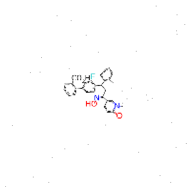 Cc1ccccc1C(CC(=NO)c1ccc(=O)n(C)c1)c1ccc(-c2ccccc2C(=O)O)cc1F